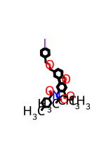 COC(=O)c1cc2oc3ccc(COCc4ccc(I)cc4)cc3c2cc1N(C(=O)C1CCC(C)CC1)C(C)C